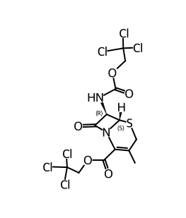 CC1=C(C(=O)OCC(Cl)(Cl)Cl)N2C(=O)[C@@H](NC(=O)OCC(Cl)(Cl)Cl)[C@@H]2SC1